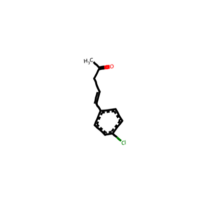 CC(=O)CC=Cc1ccc(Cl)cc1